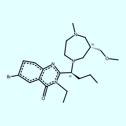 CCC[C@@H](c1nc2ccc(Br)cc2c(=O)n1CC)N1CCN(C)C[C@H](COC)C1